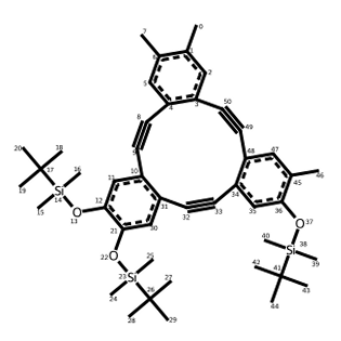 Cc1cc2c(cc1C)C#Cc1cc(O[Si](C)(C)C(C)(C)C)c(O[Si](C)(C)C(C)(C)C)cc1C#Cc1cc(O[Si](C)(C)C(C)(C)C)c(C)cc1C#C2